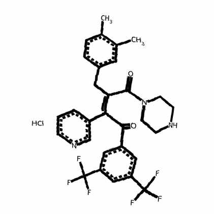 Cc1ccc(CC(C(=O)N2CCNCC2)=C(C(=O)c2cc(C(F)(F)F)cc(C(F)(F)F)c2)c2cccnc2)cc1C.Cl